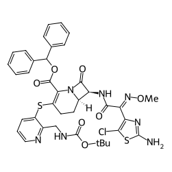 CON=C(C(=O)N[C@@H]1C(=O)N2C(C(=O)OC(c3ccccc3)c3ccccc3)=C(Sc3cccnc3CNC(=O)OC(C)(C)C)CC[C@H]12)c1nc(N)sc1Cl